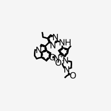 CCc1cnc(Nc2cc([N+](=O)[O-])c(N3CCN(C(C)=O)CC3)cc2C)nc1-c1cn2c3c(cccc13)CCC2